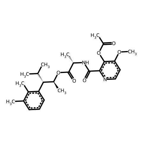 COc1ccnc(C(=O)N[C@@H](C)C(=O)O[C@@H](C)[C@H](c2cccc(C)c2C)C(C)C)c1OC(C)=O